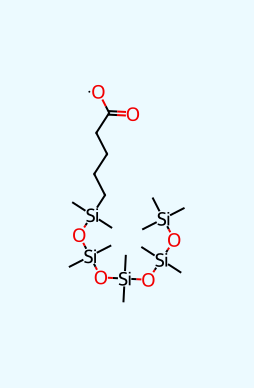 C[Si](C)(C)O[Si](C)(C)O[Si](C)(C)O[Si](C)(C)O[Si](C)(C)CCCCC([O])=O